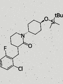 CC(C)(C)[Si](C)(C)O[C@H]1CC[C@H](N2CCCC(Cc3c(F)cccc3Cl)C2=O)CC1